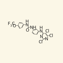 O=C(Nc1ccc(OC(F)(F)F)cc1)Nc1cccc(Nc2nc(Cl)nc(Cl)c2Cl)c1